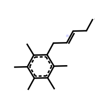 [CH2]C/C=C/Cc1c(C)c(C)c(C)c(C)c1C